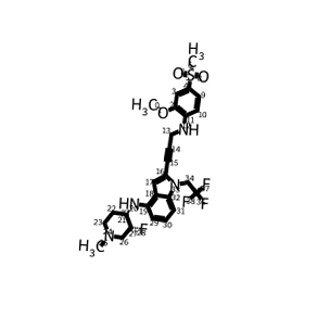 COc1cc(S(C)(=O)=O)ccc1NCC#Cc1cc2c(N[C@H]3CCN(C)C[C@H]3F)cccc2n1CC(F)(F)F